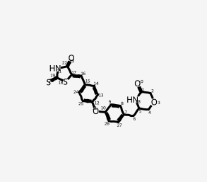 O=C1COCC(Cc2ccc(Oc3ccc(/C=C4\SC(=S)NC4=O)cc3)cc2)N1